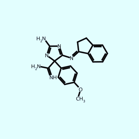 COc1ccc(C2(C(=N)N)N=C(N)N=C2N=C2CCc3ccccc32)cc1